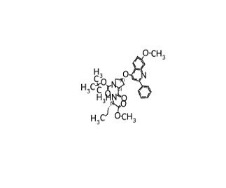 CCC[C@H](NC(=O)[C@@H]1C[C@@H](Oc2cc(-c3ccccc3)nc3cc(OC)ccc23)CN1C(=O)OC(C)(C)C)C(=O)OC